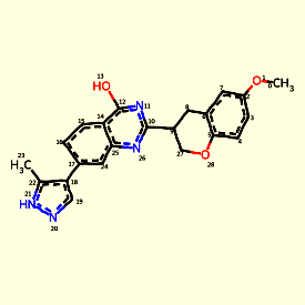 COc1ccc2c(c1)CC(c1nc(O)c3ccc(-c4cn[nH]c4C)cc3n1)CO2